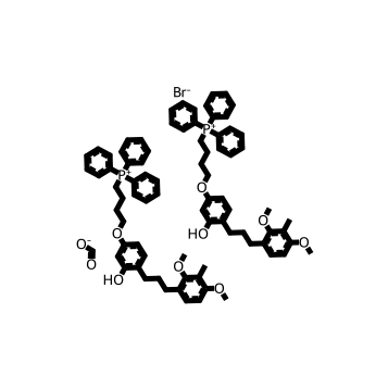 COc1ccc(CCCc2ccc(OCCCC[P+](c3ccccc3)(c3ccccc3)c3ccccc3)cc2O)c(OC)c1C.COc1ccc(CCCc2ccc(OCCCC[P+](c3ccccc3)(c3ccccc3)c3ccccc3)cc2O)c(OC)c1C.O=C[O-].[Br-]